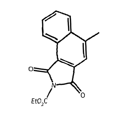 CCOC(=O)N1C(=O)c2cc(C)c3ccccc3c2C1=O